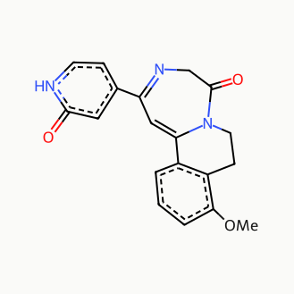 COc1cccc2c1CCN1C(=O)CN=C(c3cc[nH]c(=O)c3)C=C21